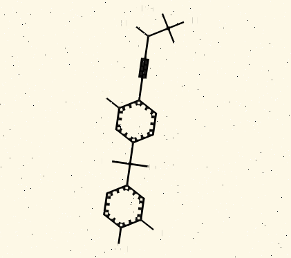 CCCCCC(C)(C)C(O)C#Cc1ccc(C(CC)(CC)c2ccc(O)c(C)c2)cc1C